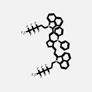 FC(F)(F)C(F)(F)C(F)(F)C(F)(F)CCN1c2cccc3cccc(c23)C1/C=C/C1=C(N(c2ccccc2)c2ccccc2)C(=C/C=c2\c3cccc4cccc(c43)n2CCC(F)(F)C(F)(F)C(F)(F)C(F)(F)F)/CC1